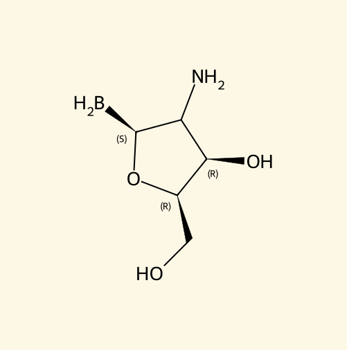 B[C@@H]1O[C@H](CO)[C@H](O)C1N